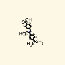 C/C(=C\c1ccc(C(=O)O)cc1)c1ccc(C(C)C)cc1.Cl